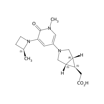 C[C@H]1CCN1c1cc(N2C[C@@H]3[C@@H](CC(=O)O)[C@@H]3C2)cn(C)c1=O